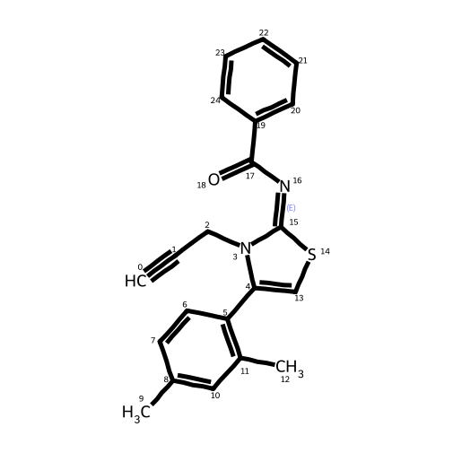 C#CCn1c(-c2ccc(C)cc2C)cs/c1=N/C(=O)c1ccccc1